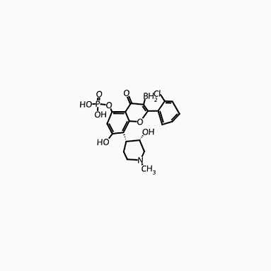 Bc1c(-c2ccccc2Cl)oc2c([C@H]3CCN(C)C[C@H]3O)c(O)cc(OP(=O)(O)O)c2c1=O